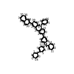 c1ccc(-c2ccc(N(c3ccccc3)c3ccc(-c4ccc5c(c4)Cc4cc(-c6ccc7ccccc7c6)ccc4N5c4ccccc4)cc3)cc2)cc1